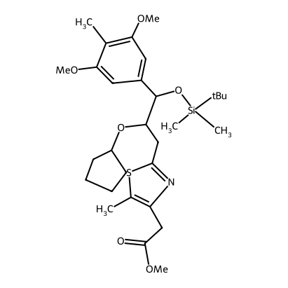 COC(=O)Cc1nc(CC(OC2CCCC2)C(O[Si](C)(C)C(C)(C)C)c2cc(OC)c(C)c(OC)c2)sc1C